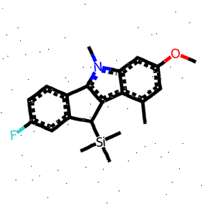 COc1cc(C)c2c3c(n(C)c2c1)-c1ccc(F)cc1C3[Si](C)(C)C